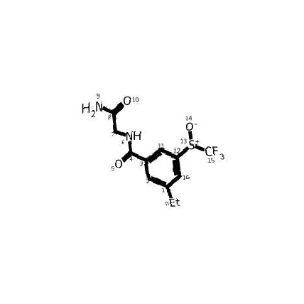 CCc1cc(C(=O)NCC(N)=O)cc([S+]([O-])C(F)(F)F)c1